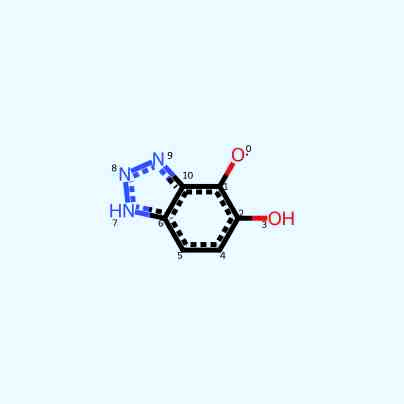 [O]c1c(O)ccc2[nH]nnc12